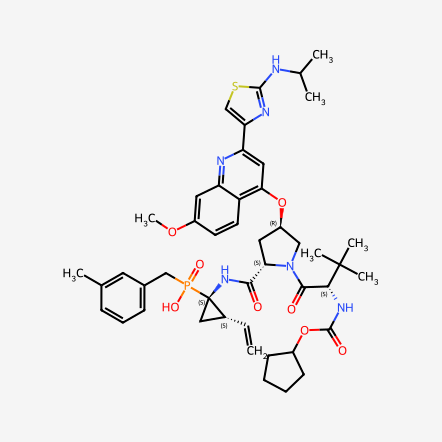 C=C[C@@H]1C[C@]1(NC(=O)[C@@H]1C[C@@H](Oc2cc(-c3csc(NC(C)C)n3)nc3cc(OC)ccc23)CN1C(=O)[C@@H](NC(=O)OC1CCCC1)C(C)(C)C)P(=O)(O)Cc1cccc(C)c1